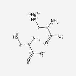 NC(CS)C(=O)[O-].NC(CS)C(=O)[O-].[Hg+2]